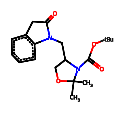 CC(C)(C)OC(=O)N1C(CN2C(=O)Cc3ccccc32)COC1(C)C